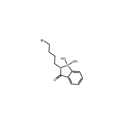 O=C1c2ccccc2S(O)(O)N1CCCCBr